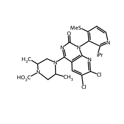 CSc1ccnc(C(C)C)c1-n1c(=O)nc(N2CC(C)N(C(=O)O)CC2C)c2cc(Cl)c(Cl)nc21